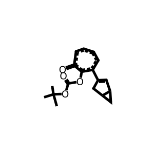 CC(C)(C)OC(=O)Oc1c(C2=CC3CC3C2)ccccc1=O